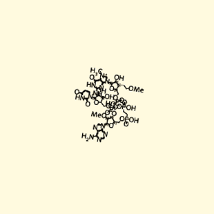 COCC[C@H]1[C@@H](O)[C@H](n2c[n+](C)c3c(=O)[nH]c(N)nc32)O[C@@H]1COP(=O)(O)OP(=O)(O)CCP(=O)(O)OC[C@H]1O[C@@H](n2cnc3c(N)ncnc32)[C@H](OC)[C@@H]1OP(=O)([O-])OCC1O[C@@H](n2ccc(=O)[nH]c2=O)[C@H](O)[C@@H]1O